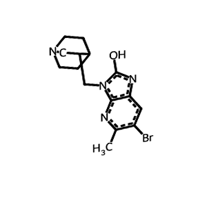 Cc1nc2c(cc1Br)nc(O)n2CC1CN2CCC1CC2